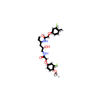 C=CC(C[C@H](O)CNC(=O)COc1ccc(OC(F)(F)F)c(F)c1)NC(=O)COc1ccc(C)c(F)c1